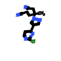 CC(CC#N)(CCC#N)n1cc(-c2ccnc(Cl)n2)cn1